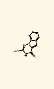 CSc1nn2c(cc3ccccc32)c(=O)[nH]1